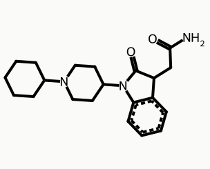 NC(=O)CC1C(=O)N(C2CCN(C3CCCCC3)CC2)c2ccccc21